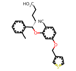 Cc1ccccc1[C@H](CCCC(=O)O)Oc1cc(OCc2ccsc2)ccc1C#N